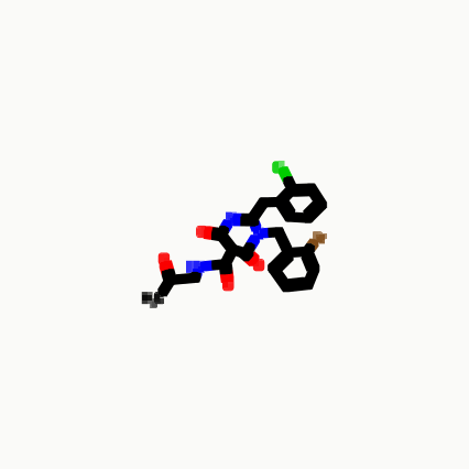 CC(=O)CNC(=O)C1C(=O)N=C(Cc2ccccc2Cl)N(Cc2ccccc2Br)C1=O